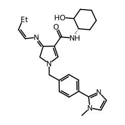 CC/C=C\N=C1/CN(Cc2ccc(-c3nccn3C)cc2)C=C1C(=O)N[C@H]1CCCCC1O